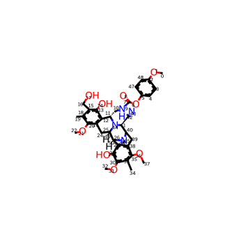 COc1ccc(OC(=O)NC[C@H]2c3c(O)c(CO)c(C)c(OC)c3C[C@H]3[C@@H]4c5c(O)c(OC)c(C)c(OC)c5CC([C@H](C#N)N23)N4C)cc1